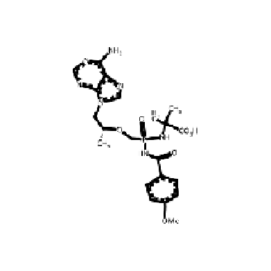 COc1ccc(C(=O)NP(=O)(CO[C@H](C)Cn2cnc3c(N)ncnc32)NC(C)(C)C(=O)O)cc1